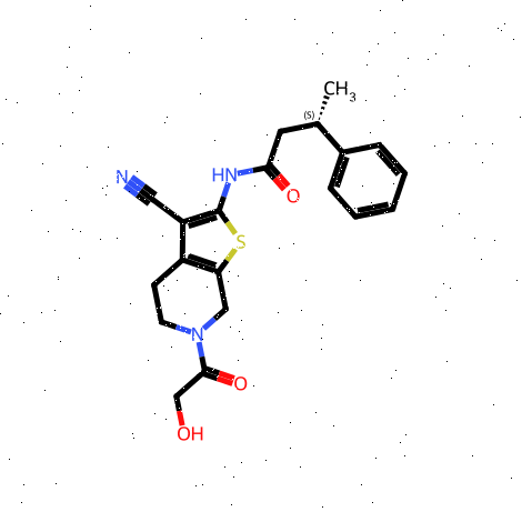 C[C@@H](CC(=O)Nc1sc2c(c1C#N)CCN(C(=O)CO)C2)c1ccccc1